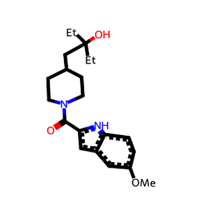 CCC(O)(CC)CC1CCN(C(=O)c2cc3cc(OC)ccc3[nH]2)CC1